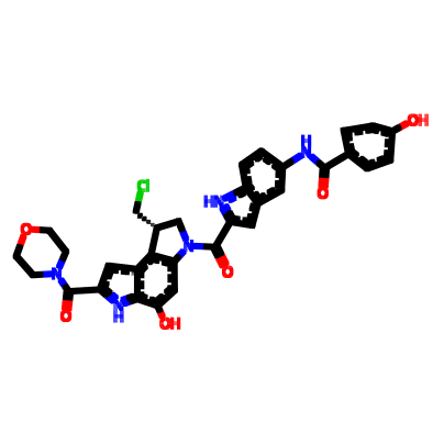 O=C(Nc1ccc2[nH]c(C(=O)N3C[C@@H](CCl)c4c3cc(O)c3[nH]c(C(=O)N5CCOCC5)cc43)cc2c1)c1ccc(O)cc1